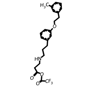 Cc1cccc(CCOc2cccc(CCCNCCC(=O)OC(=O)C(F)(F)F)c2)c1